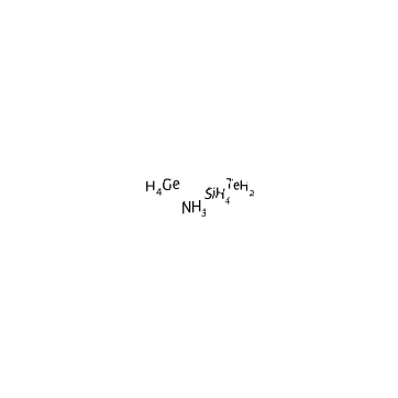 N.[GeH4].[SiH4].[TeH2]